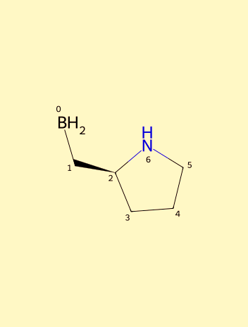 BC[C@@H]1CCCN1